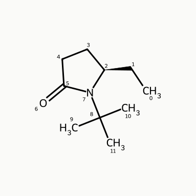 CC[C@@H]1CCC(=O)N1C(C)(C)C